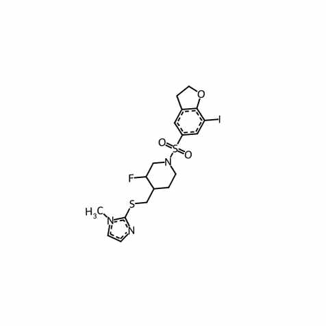 Cn1ccnc1SCC1CCN(S(=O)(=O)c2cc(I)c3c(c2)CCO3)CC1F